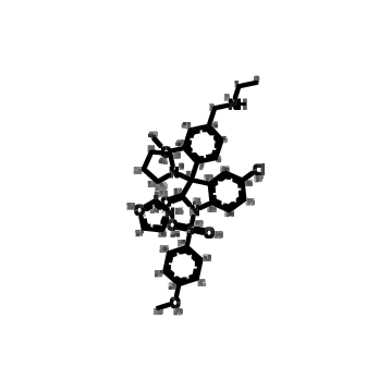 CCNCc1ccc(C2(N3CCC[C@H]3c3ncco3)C(=O)N(S(=O)(=O)c3ccc(OC)cc3)c3ccc(Cl)cc32)c(OC)c1